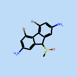 C[S+]([O-])C1c2cc(N)cc(Br)c2-c2c(Br)cc(N)cc21